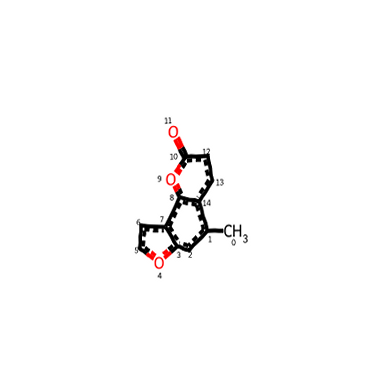 Cc1cc2occc2c2oc(=O)ccc12